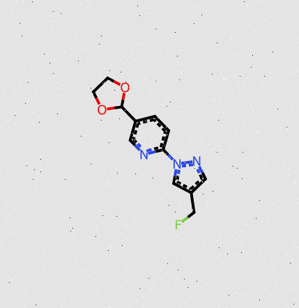 FCc1cnn(-c2ccc(C3OCCO3)cn2)c1